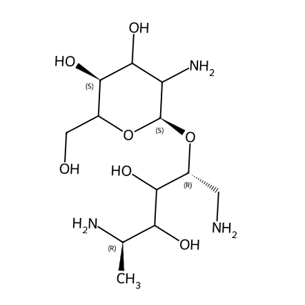 C[C@@H](N)C(O)C(O)[C@@H](CN)O[C@H]1OC(CO)[C@@H](O)C(O)C1N